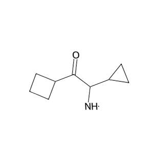 [NH]C(C(=O)C1CCC1)C1CC1